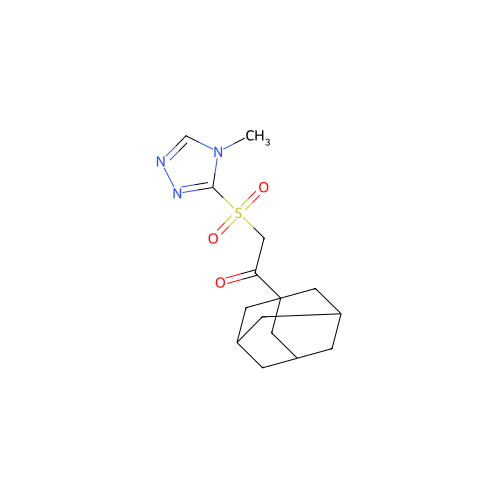 Cn1cnnc1S(=O)(=O)CC(=O)C12CC3CC(CC(C3)C1)C2